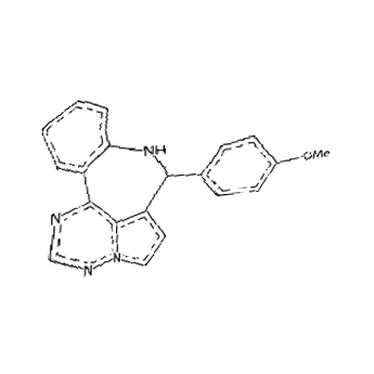 COc1ccc(C2Nc3ccccc3-c3ncnn4ccc2c34)cc1